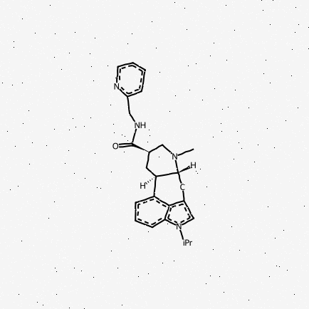 CC(C)n1cc2c3c(cccc31)[C@H]1C[C@@H](C(=O)NCc3ccccn3)CN(C)[C@@H]1C2